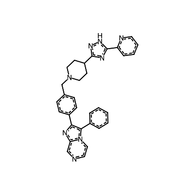 c1ccc(-c2c(-c3ccc(CN4CCC(c5n[nH]c(-c6ccccn6)n5)CC4)cc3)nc3cnccn23)cc1